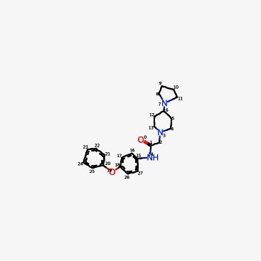 O=C(CN1CCC(N2CCCC2)CC1)Nc1ccc(Oc2ccccc2)cc1